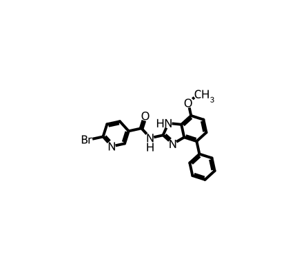 COc1ccc(-c2ccccc2)c2nc(NC(=O)c3ccc(Br)nc3)[nH]c12